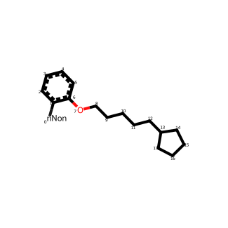 CCCCCCCCCc1cc[c]cc1OCCCCCC1CCCC1